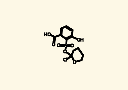 O=C(O)c1cccc(O)c1S(=O)(=O)OC1(Cl)CCCCO1